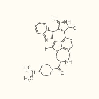 CN(C)C1CCN(C(=O)C2Cn3c(F)cc4c(C5=C(c6cnc7ccccn67)C(=O)NC5=O)ccc(c43)CN2)CC1